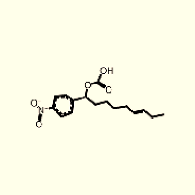 CCC=CCCCCC(OC(=O)O)c1ccc([N+](=O)[O-])cc1